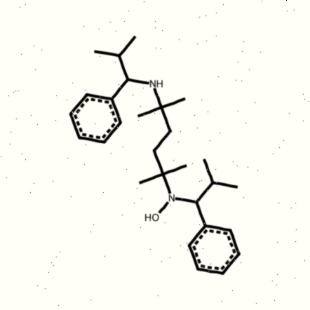 CC(C)C(NC(C)(C)CCC(C)(C)N(O)C(c1ccccc1)C(C)C)c1ccccc1